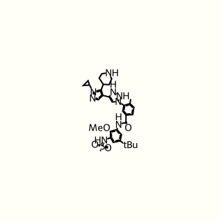 COc1c(NC(=O)c2ccc(C)c(N3C=C(c4cnn(C5CC5)c4C4CCNCC4)NN3)c2)cc(C(C)(C)C)cc1NS(C)(=O)=O